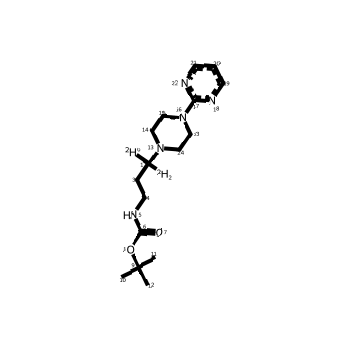 [2H]C([2H])(CCNC(=O)OC(C)(C)C)N1CCN(c2ncccn2)CC1